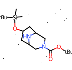 CC(C)(C)OC(=O)N1CC2CC(O[Si](C)(C)C(C)(C)C)CC(C1)N2